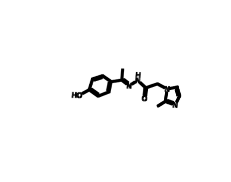 C/C(=N\NC(=O)Cn1ccnc1C)c1ccc(O)cc1